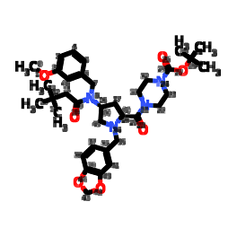 COc1cccc(CN(C(=O)CC(C)(C)C)[C@H]2C[C@@H](C(=O)N3CCN(C(=O)OC(C)(C)C)CC3)N(Cc3ccc4c(c3)OCO4)C2)c1